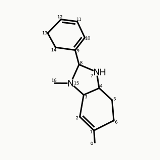 CC1=CC2C(CC1)NC(C1=CC=CCC1)N2C